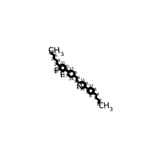 C/C=C/CCc1ccc(-c2ccc(CCC3CC=C(c4ccc(CCCCCC)c(F)c4F)CC3)nc2)cc1